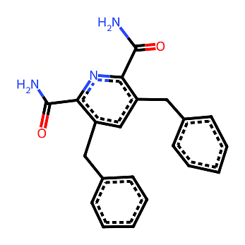 NC(=O)c1nc(C(N)=O)c(Cc2ccccc2)cc1Cc1ccccc1